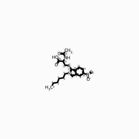 CCCCCCn1cc2cc([N+](=O)[O-])ccc2c1SCC(NC(C)=O)C(=O)O